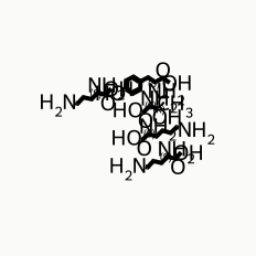 C[C@@H](O)[C@H](N)C(=O)O.NCCCC[C@H](N)C(=O)O.NCCC[C@H](N)C(=O)O.NCCC[C@H](N)C(=O)O.N[C@@H](Cc1ccc(O)cc1)C(=O)O